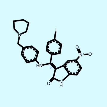 O=C1Nc2ccc([N+](=O)[O-])cc2/C1=C(/Nc1ccc(CN2CCCCC2)cc1)c1ccc(I)cc1